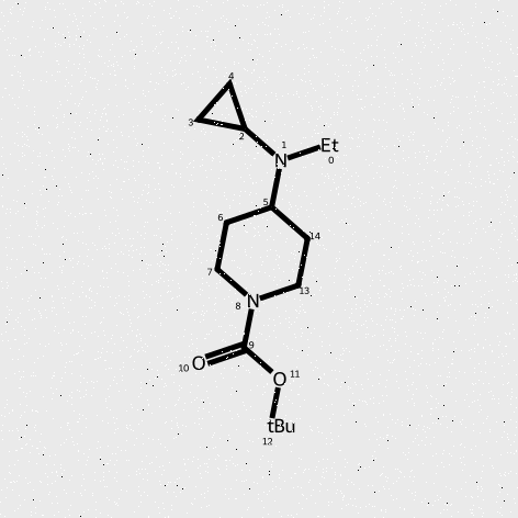 CCN(C1CC1)C1CCN(C(=O)OC(C)(C)C)CC1